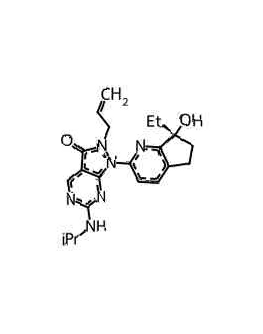 C=CCn1c(=O)c2cnc(NC(C)C)nc2n1-c1ccc2c(n1)[C@@](O)(CC)CC2